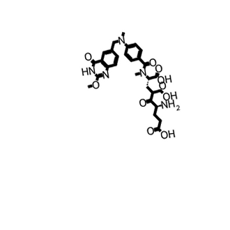 COc1nc2ccc(CN(C)c3ccc(C(=O)N(C)[C@@H](CC(C(=O)O)C(=O)[C@@H](N)CCC(=O)O)C(=O)O)cc3)cc2c(=O)[nH]1